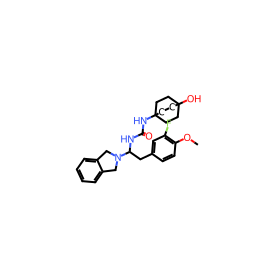 COc1ccc(CC(NC(=O)NC23CCC(O)(CC2)CC3)N2Cc3ccccc3C2)cc1F